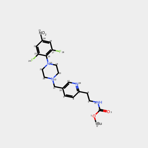 CC(C)(C)OC(=O)NCCc1ccc(CN2CCN(c3c(F)cc([N+](=O)[O-])cc3F)CC2)cn1